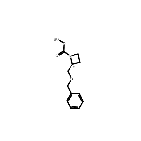 CC(C)(C)OC(=O)N1CC[C@H]1COCc1ccccc1